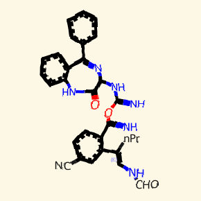 CCC/C(=C\NC=O)c1cc(C#N)ccc1C(=N)OC(=N)NC1N=C(c2ccccc2)c2ccccc2NC1=O